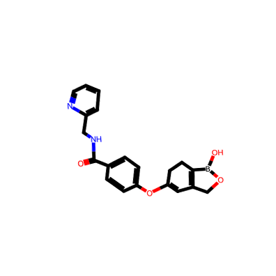 O=C(NCc1ccccn1)c1ccc(OC2=CC3=C(CC2)B(O)OC3)cc1